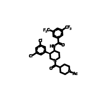 CC(=O)N1CCC(C(=O)N2CCC(NC(=O)c3cc(C(F)(F)F)cc(C(F)(F)F)c3)[C@H](c3cc(Cl)cc(Cl)c3)C2)CC1